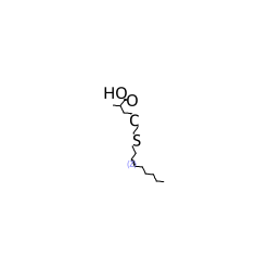 CCCCC/C=C\CCSCC=C=CCC(C)C(=O)O